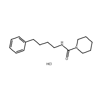 Cl.O=C(NCCCCc1ccccc1)N1CCCCC1